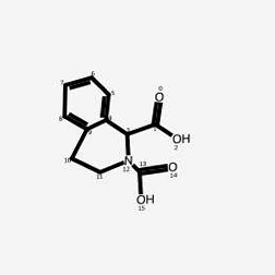 O=C(O)C1c2ccccc2CCN1C(=O)O